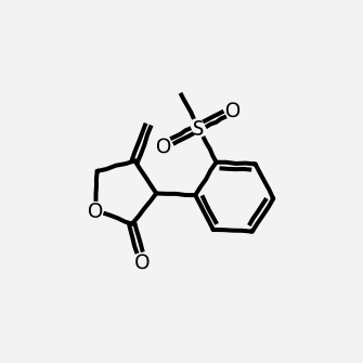 C=C1COC(=O)C1c1ccccc1S(C)(=O)=O